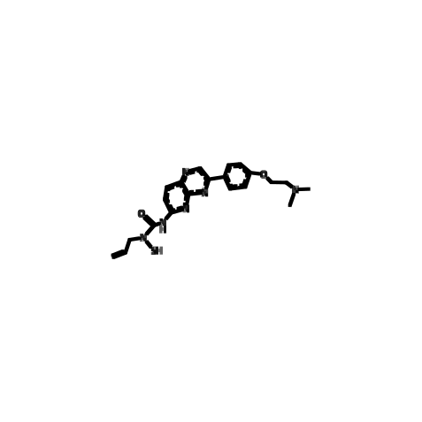 C=CCN(S)C(=O)Nc1ccc2ncc(-c3ccc(OCCN(C)C)cc3)nc2n1